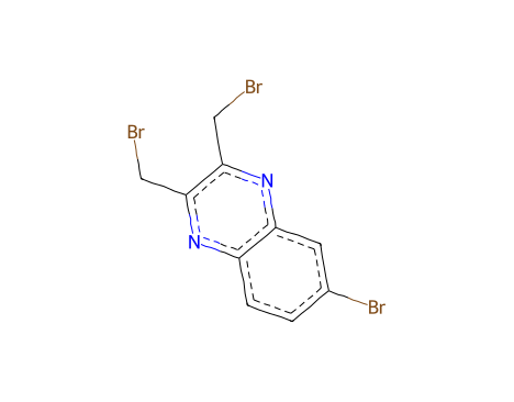 BrCc1nc2ccc(Br)cc2nc1CBr